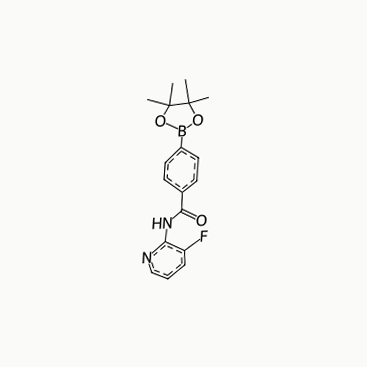 CC1(C)OB(c2ccc(C(=O)Nc3ncccc3F)cc2)OC1(C)C